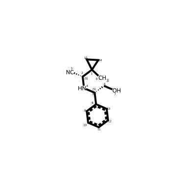 CC1([C@@H](C#N)N[C@H](CO)c2ccccc2)CC1